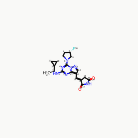 C[C@H](Nc1nc(N2CC[C@H](F)C2)n2ncc(C=C3CC(=O)NC3=O)c2n1)C1CC1